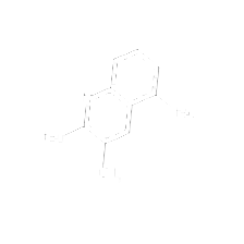 Cc1cc2c(C(C)(C)C)cccc2nc1C(C)(C)C